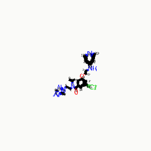 CC(C)N(CCn1cncn1)C(=O)c1cc(Cl)cc(OCCNc2ccncc2)c1